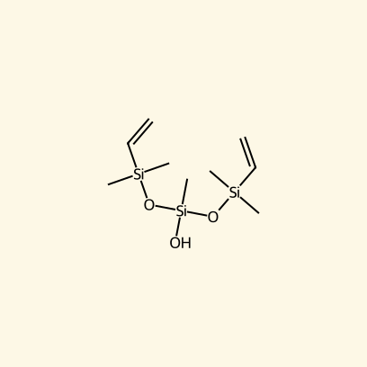 C=C[Si](C)(C)O[Si](C)(O)O[Si](C)(C)C=C